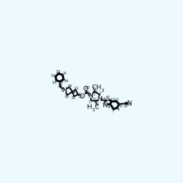 C[C@@H]1CN(c2nc3ccc(C#N)cc3s2)[C@@H](C)CN1C(=O)OC1CC2(C1)CN(Cc1ccccc1)C2